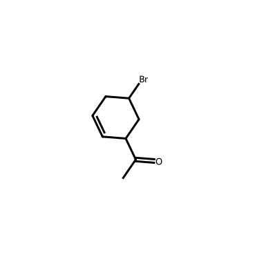 CC(=O)C1C=CCC(Br)C1